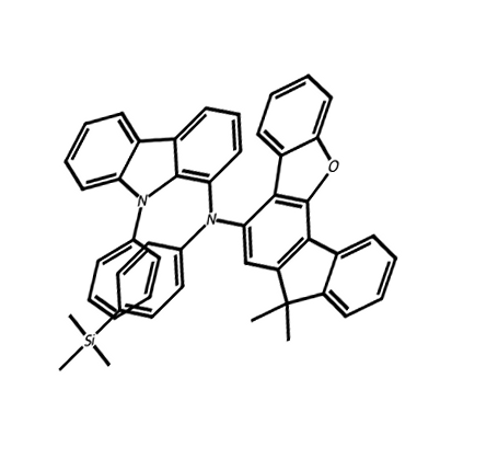 CC1(C)c2ccccc2-c2c1cc(N(c1ccc([Si](C)(C)C)cc1)c1cccc3c4ccccc4n(-c4ccccc4)c13)c1c2oc2ccccc21